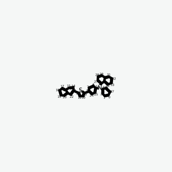 c1ccc(N(c2ccc(-c3ccc(-c4ccc5ccccc5c4)s3)cc2)c2cccc3ccccc23)cc1